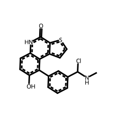 CNC(Cl)c1cccc(-c2c(O)ccc3[nH]c(=O)c4sccc4c23)c1